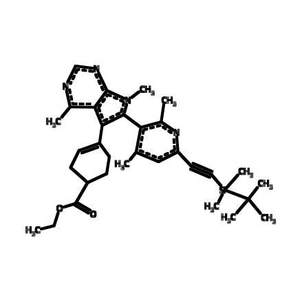 CCOC(=O)C1CC=C(c2c(-c3c(C)cc(C#C[Si](C)(C)C(C)(C)C)nc3C)n(C)c3ncnc(C)c23)CC1